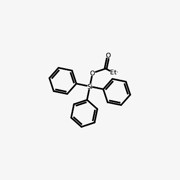 C[CH]C(=O)O[Si](c1ccccc1)(c1ccccc1)c1ccccc1